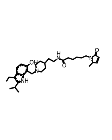 CCc1c(C(C)C)[nH]c2c(CN3CCC(CCNC(=O)CCCCCN4C(=O)C=CC4C)CC3)c(O)ccc12